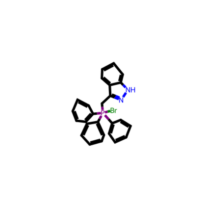 BrP(Cc1n[nH]c2ccccc12)(c1ccccc1)(c1ccccc1)c1ccccc1